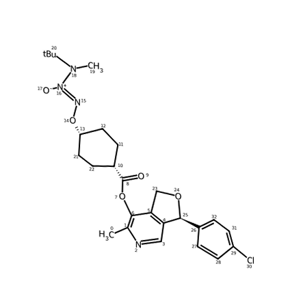 Cc1ncc2c(c1OC(=O)[C@H]1CC[C@@H](O/N=[N+](\[O-])N(C)C(C)(C)C)CC1)CO[C@H]2c1ccc(Cl)cc1